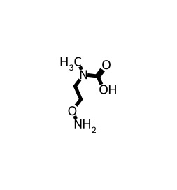 CN(CCON)C(=O)O